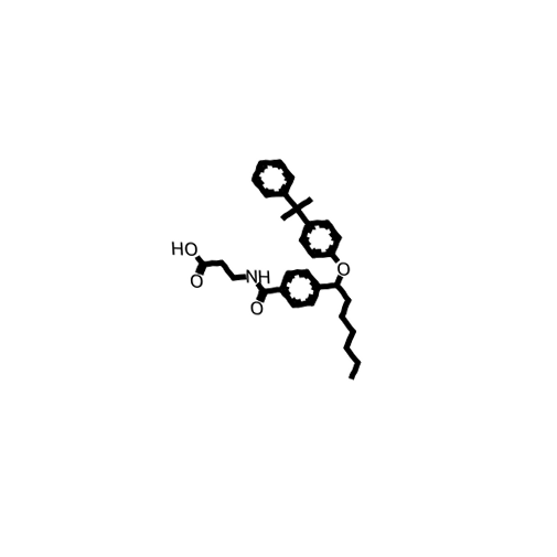 CCCCCCC(Oc1ccc(C(C)(C)c2ccccc2)cc1)c1ccc(C(=O)NCCC(=O)O)cc1